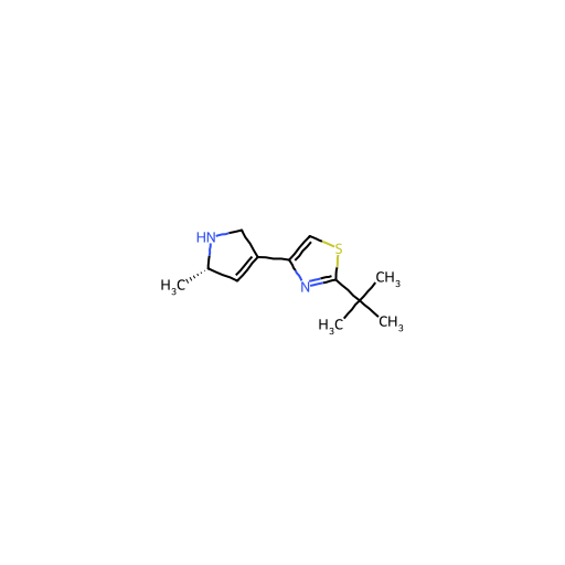 C[C@H]1C=C(c2csc(C(C)(C)C)n2)CN1